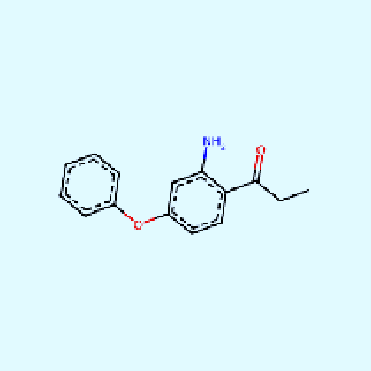 CCC(=O)c1ccc(Oc2ccccc2)cc1N